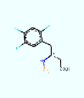 O=C(O)C[C@@H](Cc1cc(F)c(F)cc1F)NP